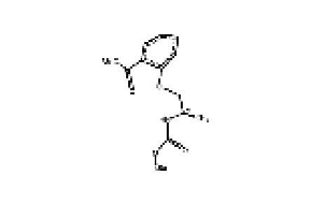 COC(=O)c1ccccc1OC[C@@H](C)NC(=O)OC(C)(C)C